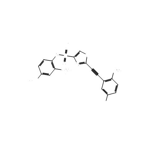 COc1ccc(C)cc1C#Cc1nc(S(=O)(=O)Nc2ccc(C(=O)O)cc2OC)cs1